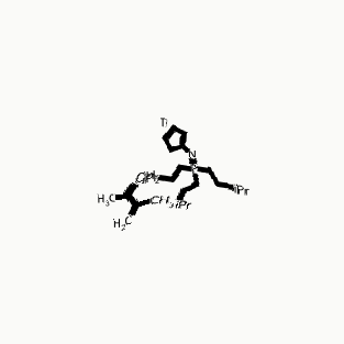 C=C(C)C(=C)C.CC(C)CCP(CCC(C)C)(CCC(C)C)=NC1=CC=CC1.[Ti]